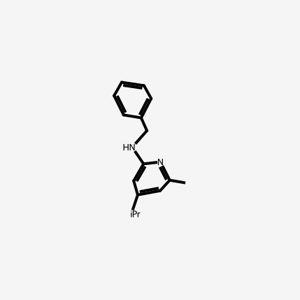 Cc1cc(C(C)C)cc(NCc2ccccc2)n1